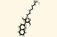 Cc1nn(CCCCCCN)c(C)c1-c1ccc2ccccc2n1